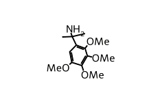 COc1cc(C(C)(C)N)c(OC)c(OC)c1OC